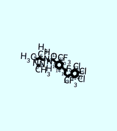 Cc1nc(C)c(C)c(NNC(=O)c2ccc(C(F)=CC(c3cc(Cl)c(Cl)c(Cl)c3)C(F)(F)F)cc2C(F)(F)F)n1